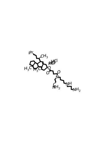 CC(C)CCC[C@@H](C)C1C=C2CC(OC(=O)CCC(=O)N(CCCN)CCCCNCCCN)CCC2(C)C2CCC3(C)CCCC3C12.Cl.Cl.Cl